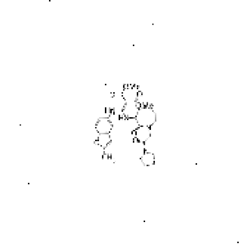 COC(=O)C(C(=O)OC)=C(Nc1ccc2oc(C)cc2c1)N[C@H]1CCCCN(CC(=O)N2CCCC2)C1=O